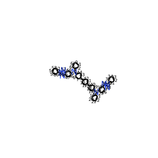 c1ccc(N(c2ccc(-c3ccc(-c4ccc(N(c5ccccc5)c5ccc6nn(-c7ccccc7)nc6c5)cc4)cc3)cc2)c2ccc3nn(-c4ccccc4)nc3c2)cc1